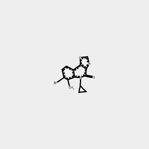 Cc1c(Br)ccc2c3ocnc3c(=O)n(C3CC3)c12